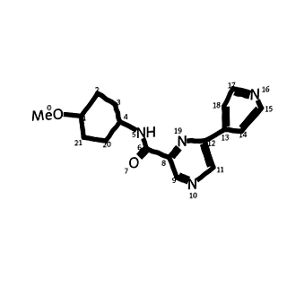 COC1CCC(NC(=O)c2cncc(-c3ccncc3)n2)CC1